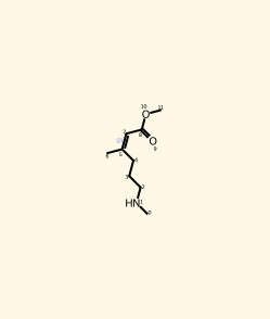 CNCCC/C(C)=C\C(=O)OC